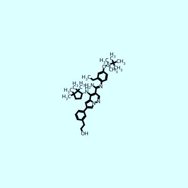 CCc1cc(O[Si](C)(C)C(C)(C)C)ccc1/N=C(\N)c1cnn2cc(-c3cccc(CCO)c3)cc2c1N[C@@H]1CCC(C)(C)C1(C)C